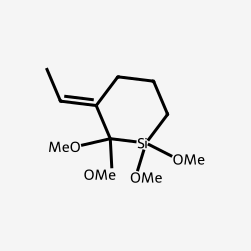 CC=C1CCC[Si](OC)(OC)C1(OC)OC